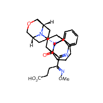 CON=C(CCC(=O)O)c1nc2ccccc2n([C@H]2C[C@H]3COC[C@@H](C2)N3C2CC3CCCCC(C3)C2)c1=O